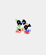 CC(c1ccc(F)cc1Cl)N1C[C@H](Oc2cc(F)c(C(=O)NS(C)(=O)=O)cc2C2CC2)CC(C)(C)C1.O=C(O)C(F)(F)F